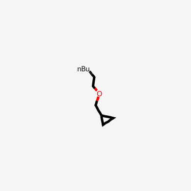 CCCCCCOCC1CC1